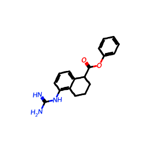 N=C(N)Nc1cccc2c1CCCC2C(=O)Oc1ccccc1